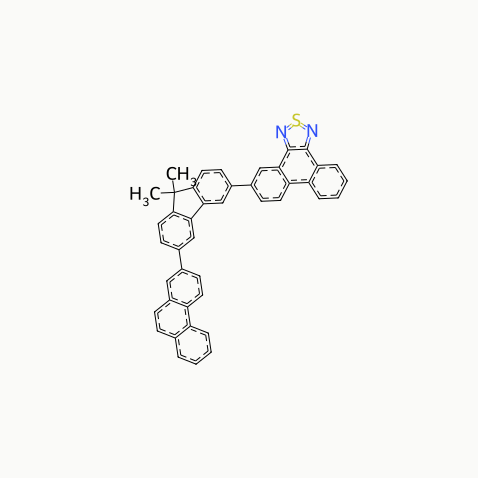 CC1(C)c2ccc(-c3ccc4c(ccc5ccccc54)c3)cc2-c2cc(-c3ccc4c5ccccc5c5nsnc5c4c3)ccc21